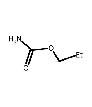 CC[CH]OC(N)=O